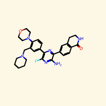 Nc1nc(F)c(-c2ccc(N3CCOCC3)c(CN3CCCCC3)c2)nc1-c1ccc2c(c1)CCNC2=O